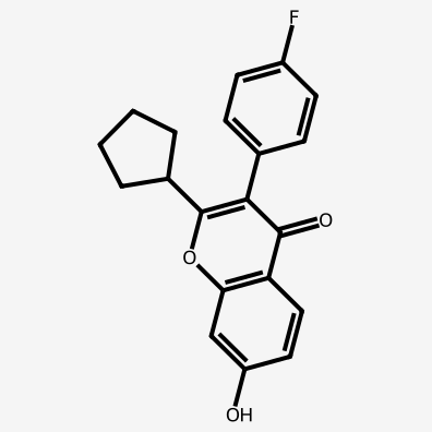 O=c1c(-c2ccc(F)cc2)c(C2CCCC2)oc2cc(O)ccc12